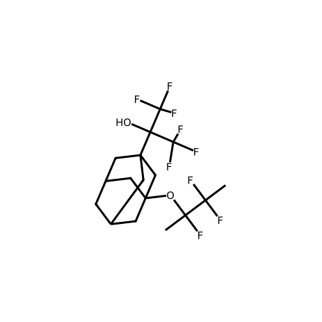 CC(F)(F)C(C)(F)OC12CC3CC(C1)CC(C(O)(C(F)(F)F)C(F)(F)F)(C3)C2